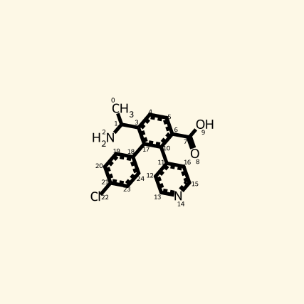 CC(N)c1ccc(C(=O)O)c(-c2ccncc2)c1-c1ccc(Cl)cc1